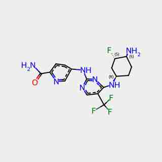 NC(=O)c1ccc(Nc2ncc(C(F)(F)F)c(N[C@@H]3CC[C@H](N)[C@@H](F)C3)n2)cn1